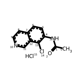 CC(=O)Nc1ccc2ccncc2c1Cl.Cl